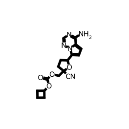 N#CC1(COC(=O)OC2CCC2)CCC(c2ccc3c(N)ncnn23)O1